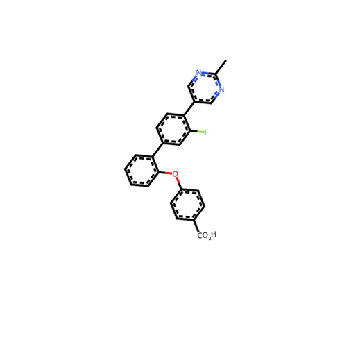 Cc1ncc(-c2ccc(-c3ccccc3Oc3ccc(C(=O)O)cc3)cc2F)cn1